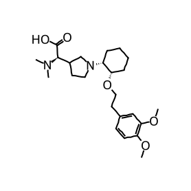 COc1ccc(CCO[C@H]2CCCC[C@H]2N2CCC([C@H](C(=O)O)N(C)C)C2)cc1OC